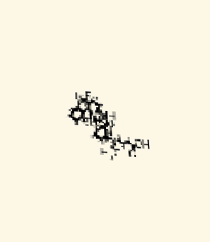 CCN(CCCC(=O)O)c1cccc(S(=O)(=O)Nc2ccc(C(F)(F)F)c(-c3ccccc3C)n2)n1